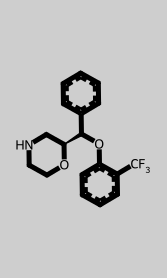 FC(F)(F)c1ccccc1OC(c1ccccc1)[C@@H]1CNCCO1